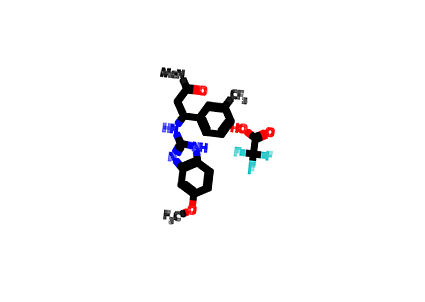 CNC(=O)CC(Nc1nc2cc(OC(F)(F)F)ccc2[nH]1)c1cccc(C(F)(F)F)c1.O=C(O)C(F)(F)F